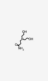 NC(=O)CCN(CCO)CCO